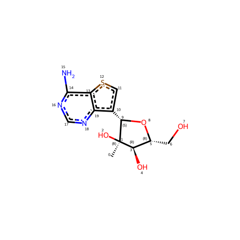 C[C@@]1(O)[C@H](O)[C@@H](CO)O[C@H]1c1csc2c(N)ncnc12